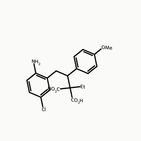 CCC(C(=O)O)(C(=O)O)C(Cc1cc(Cl)ccc1N)c1ccc(OC)cc1